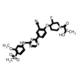 COc1cc(Nc2ncnc(-c3ccc(OC4CCN(C(=O)[C@H](C)O)CC4F)c(C#N)c3)n2)ccc1S(C)(=O)=O